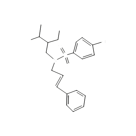 CC(C)C(CO)CN(C/C=C/c1ccccc1)S(=O)(=O)c1ccc(Cl)cc1